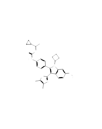 CCOc1ccc2c(-c3nc(C)c(C)o3)c(-c3ccc(NC(=O)OC(C)C4CC4)cc3)n(C3CCC3)c2c1